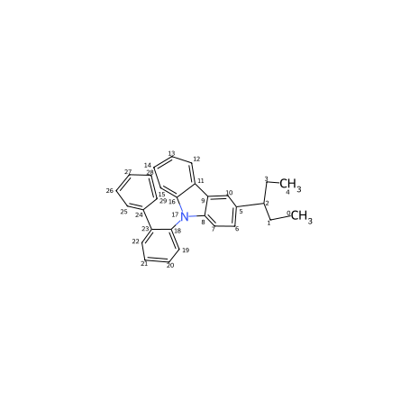 CCC(CC)c1ccc2c(c1)c1ccccc1n2-c1ccccc1-c1ccccc1